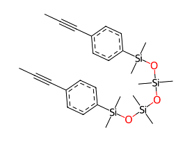 CC#Cc1ccc([Si](C)(C)O[Si](C)(C)O[Si](C)(C)O[Si](C)(C)c2ccc(C#CC)cc2)cc1